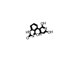 Cc1cc(O)nc(O)c1-c1cccc2[nH]c(=O)nc(O)c12